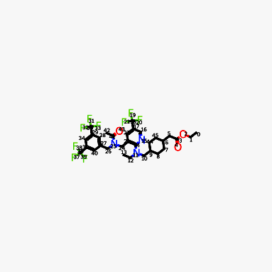 CCOC(=O)CC1CCC(CN(CC)c2ncc(C(F)(F)F)cc2CN(Cc2cc(C(F)(F)F)cc(C(F)(F)F)c2)C(C)=O)CC1